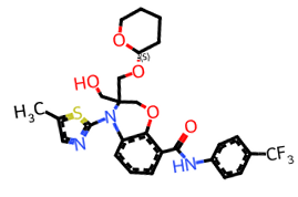 Cc1cnc(N2c3cccc(C(=O)Nc4ccc(C(F)(F)F)cc4)c3OCC2(CO)CO[C@H]2CCCCO2)s1